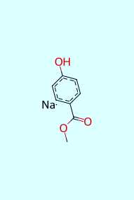 COC(=O)c1ccc(O)cc1.[Na]